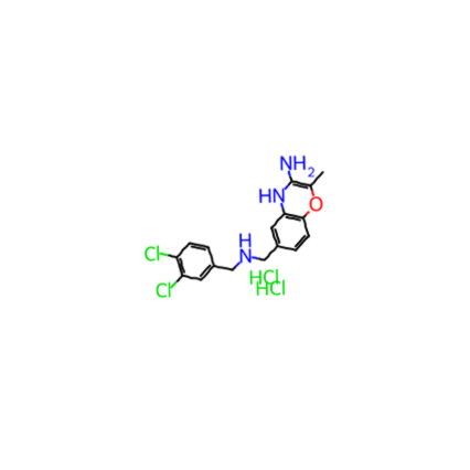 CC1=C(N)Nc2cc(CNCc3ccc(Cl)c(Cl)c3)ccc2O1.Cl.Cl